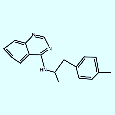 Cc1ccc(CC(C)Nc2ncnc3ccccc23)cc1